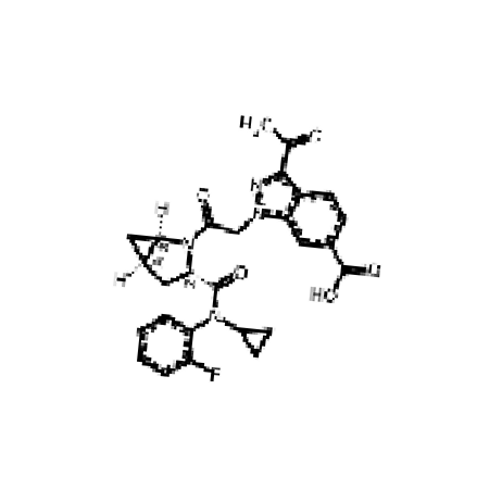 CC(=O)c1nn(CC(=O)N2[C@@H]3C[C@@H]3C[C@H]2C(=O)N(c2ccccc2F)C2CC2)c2cc(C(=O)O)ccc12